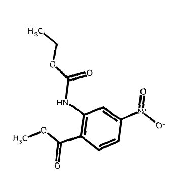 CCOC(=O)Nc1cc([N+](=O)[O-])ccc1C(=O)OC